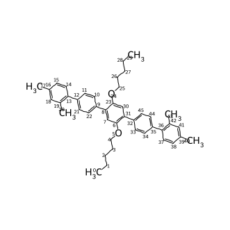 CCCCCOc1cc(-c2ccc(-c3ccc(C)cc3C)cc2)c(OCCCCC)cc1-c1ccc(-c2ccc(C)cc2C)cc1